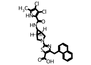 Cc1[nH]c(C(=O)NC2[C@H]3CN(c4nc(Cc5cccc6ccccc56)c(C(=O)O)s4)C[C@@H]23)c(Cl)c1Cl